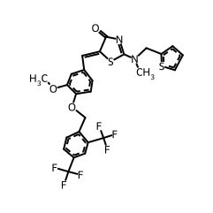 COc1cc(/C=C2\SC(N(C)Cc3cccs3)=NC2=O)ccc1OCc1ccc(C(F)(F)F)cc1C(F)(F)F